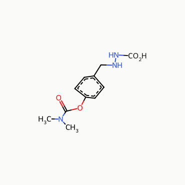 CN(C)C(=O)Oc1ccc(CNNC(=O)O)cc1